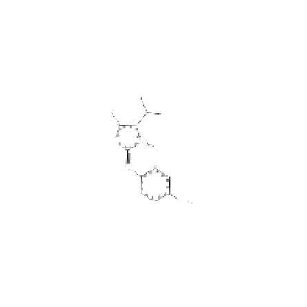 COc1ccc(/N=c2/sc(C)c(C(C)C(=O)O)n2C)cc1